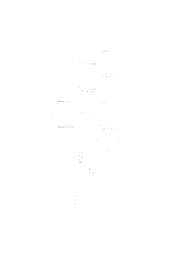 CC(C)CN(C[C@H]1CCN(c2nc(-c3ccccc3O)nc3ccc(F)cc23)C1)C(=O)O